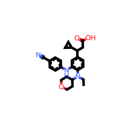 CCN(c1ccc(C(CC(=O)O)C2CC2)cc1Nc1ccc(C#N)cc1)C1CCOCC1